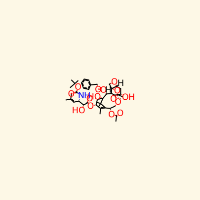 CC(=O)O[C@H]1CO[C@]2(C)[C@@H](O)C[C@H]3OC[C@@]3(OC(C)=O)[C@H]2[C@H](OOCc2ccccc2)[C@]2(O)C[C@H](OC(=O)[C@H](O)[C@H](C=C(C)C)NC(=O)OC(C)(C)C)C(C)=C1C2(C)C